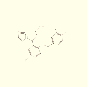 CCCC(c1cc(Cl)ccc1OCc1ccc(Cl)c(Cl)c1)n1ccnc1